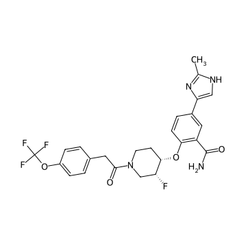 Cc1nc(-c2ccc(O[C@H]3CCN(C(=O)Cc4ccc(OC(F)(F)F)cc4)C[C@H]3F)c(C(N)=O)c2)c[nH]1